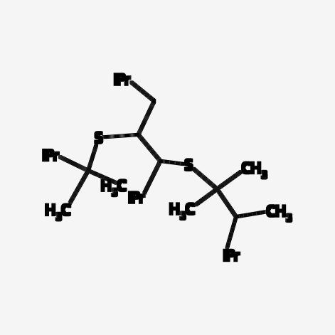 CC(C)CC(SC(C)(C)C(C)C)C(SC(C)(C)C(C)C(C)C)C(C)C